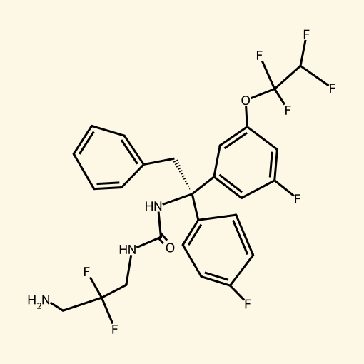 NCC(F)(F)CNC(=O)N[C@](Cc1ccccc1)(c1ccc(F)cc1)c1cc(F)cc(OC(F)(F)C(F)F)c1